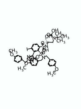 COc1ccc(CN(Cc2ccc(OC)cc2)S(=O)(=O)c2c(S(=O)(=O)N[C@H](CO)CN(C(=O)O)C(C)(C)C)ccc(I)c2-c2nnn(Cc3ccc(OC)cc3)n2)cc1